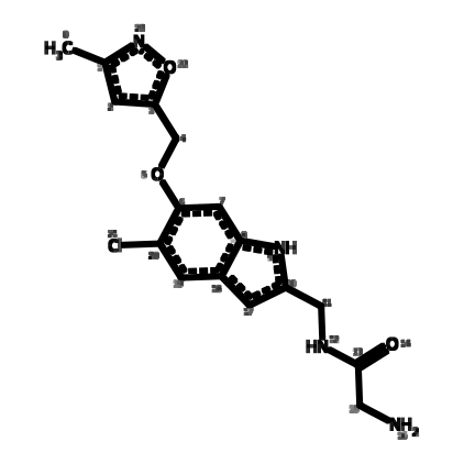 Cc1cc(COc2cc3[nH]c(CNC(=O)CN)cc3cc2Cl)on1